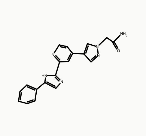 NC(=O)Cn1cc(-c2ccnc(-c3ncc(-c4ccccc4)[nH]3)c2)cn1